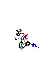 O=Cc1cccnc1Sc1c(Cl)cc(-c2cn[nH]n2)cc1CNC(=O)OCC1c2ccccc2-c2ccccc21